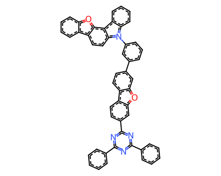 c1ccc(-c2nc(-c3ccccc3)nc(-c3ccc4c(c3)oc3cc(-c5cccc(-n6c7ccccc7c7c8oc9ccccc9c8ccc76)c5)ccc34)n2)cc1